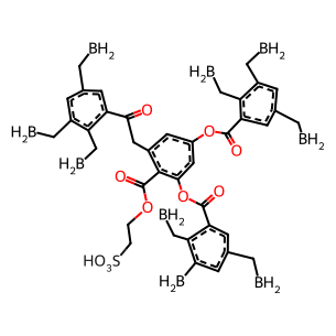 BCc1cc(B)c(CB)c(C(=O)Oc2cc(OC(=O)c3cc(CB)cc(CB)c3CB)cc(CC(=O)c3cc(CB)cc(CB)c3CB)c2C(=O)OCCS(=O)(=O)O)c1